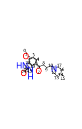 COc1ccc(C(=O)CCCN2CCC(C)CC2)c2[nH]c(=O)[nH]c12